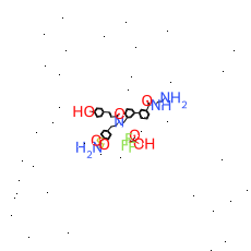 NCCNC(=O)c1cccc(-c2cccc(CN(CCc3ccc(S(N)(=O)=O)cc3)C(=O)C=Cc3ccc(O)cc3)c2)c1.O=C(O)C(F)(F)F